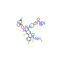 Nc1nc2c(-c3c(Cl)cc4c(N5CCC6(CC5)CN(C(=O)n5cncn5)C6)nc(OC[C@@]56CCCN5C[C@H](F)C6)nc4c3F)ccc(F)c2s1